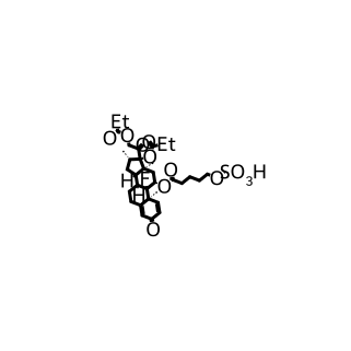 CCC(=O)OCC(=O)[C@@]1(OC(=O)CC)[C@@H](C)C[C@H]2[C@@H]3CCC4=CC(=O)C=C[C@]4(C)C3(F)[C@@H](OC(=O)CCCCOS(=O)(=O)O)C[C@@]21C